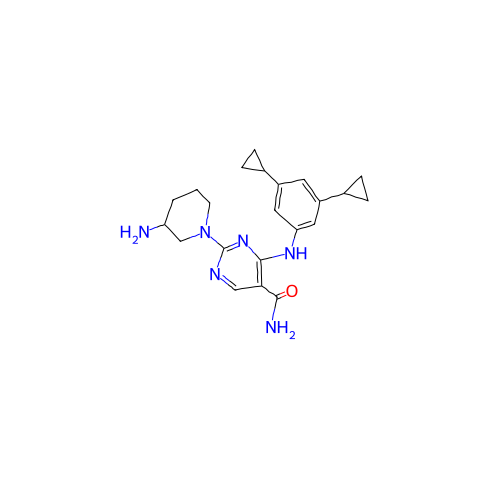 NC(=O)c1cnc(N2CCCC(N)C2)nc1Nc1cc(C2CC2)cc(C2CC2)c1